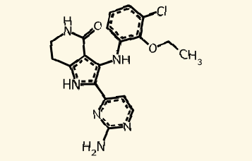 CCOc1c(Cl)cccc1Nc1c(-c2ccnc(N)n2)[nH]c2c1C(=O)NCC2